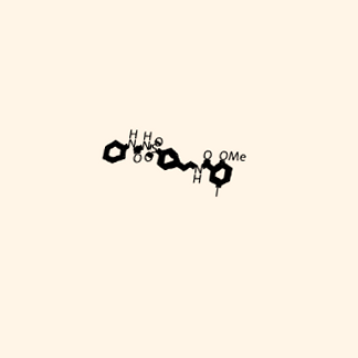 COc1ccc(I)cc1C(=O)NCCc1ccc(S(=O)(=O)NC(=O)NC2CCCCC2)cc1